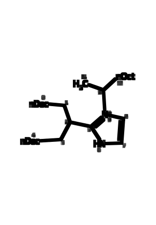 CCCCCCCCCCCC(CCCCCCCCCCC)c1[nH]cc[n+]1C(C)CCCCCCCC